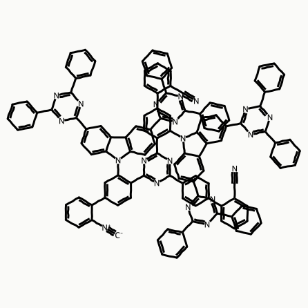 [C-]#[N+]c1ccccc1-c1ccc(-c2nc(-c3ccc(-c4ccccc4C#N)cc3)nc(-c3ccc(-c4ccccc4C#N)cc3-n3c4ccc(-c5nc(-c6ccccc6)nc(-c6ccccc6)n5)cc4c4cc(-c5nc(-c6ccccc6)nc(-c6ccccc6)n5)ccc43)n2)c(-n2c3ccc(-c4nc(-c5ccccc5)nc(-c5ccccc5)n4)cc3c3cc(-c4nc(-c5ccccc5)nc(-c5ccccc5)n4)ccc32)c1